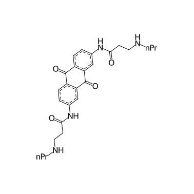 CCCNCCC(=O)Nc1ccc2c(c1)C(=O)c1cc(NC(=O)CCNCCC)ccc1C2=O